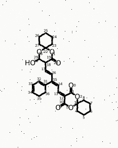 O=C1OC2(CCCCC2)OC(=O)C1=C/C=C(/C=C/C1C(=O)OC2(CCCCC2)OC1O)C1=CC=CCC1